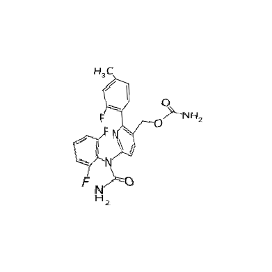 Cc1ccc(-c2nc(N(C(N)=O)c3c(F)cccc3F)ccc2COC(N)=O)c(F)c1